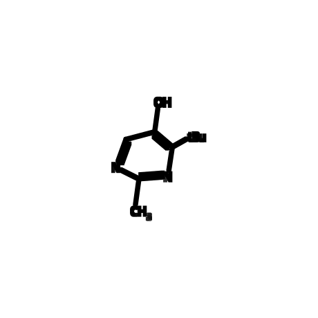 Cc1ncc(O)c(C(C)(C)C)n1